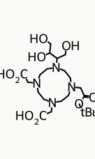 CC(C)(C)OC(=O)CN1CCN(CC(=O)O)CCN(CC(=O)O)CCN(C(CO)C(O)CO)CC1